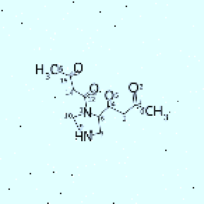 CC(=O)CC(=O)C1CNCCN1C(=O)CC(C)=O